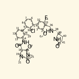 COc1cc(-c2cccc(-c3cccc(NC(=O)c4cn(C)c(=O)n(C)c4=O)c3C)c2Cl)cc(F)c1CNC[C@@H]1CCC(=O)N1